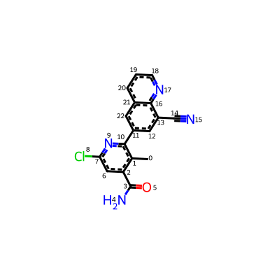 Cc1c(C(N)=O)cc(Cl)nc1-c1cc(C#N)c2ncccc2c1